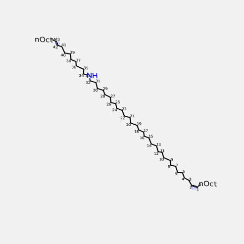 CCCCCCCC/C=C\CCCCCCCCCCCCCCCCCCCCCCCCCCCCCCNCCCCCCCC/C=C/CCCCCCCC